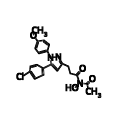 COc1ccc(-n2nc(CCC(=O)N(O)C(C)=O)cc2-c2ccc(Cl)cc2)cc1